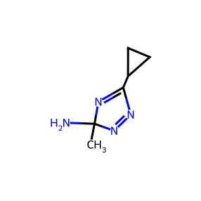 CC1(N)N=NC(C2CC2)=N1